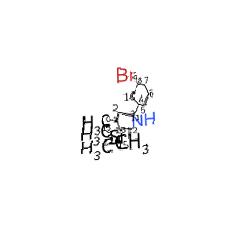 CC1C=C(C2C=CCC(Br)C2)NCC1[Si](C)(C)C